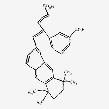 CC1(C)CCC(C)(C)c2cc3cc(C=C(C=CC(=O)O)c4cccc(C(=O)O)c4)ccc3cc21